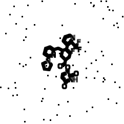 O=C(On1ccc(=O)[nH]c1=O)C1CC=C(c2cccnc2C(F)(F)F)C(Cc2cccc(N3CCCC3)n2)C1